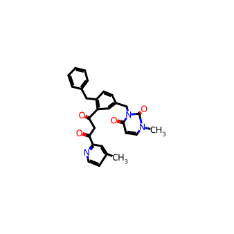 Cc1ccnc(C(=O)CC(=O)c2cc(Cn3c(=O)ccn(C)c3=O)ccc2Cc2ccccc2)c1